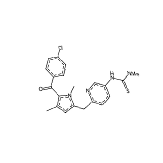 CNC(=S)Nc1ccc(Cc2cc(C)c(C(=O)c3ccc(Cl)cc3)n2C)nc1